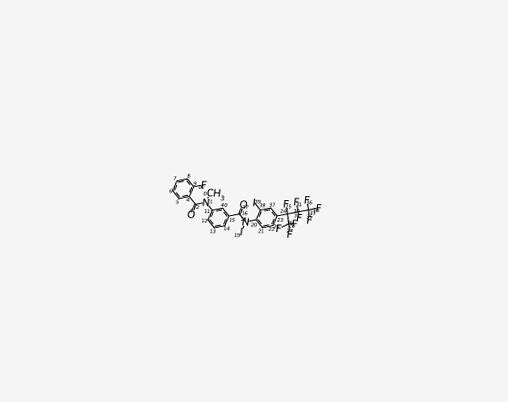 CN(C(=O)c1ccccc1F)c1cccc(C(=O)N(I)c2ccc(C(F)(C(F)(F)F)C(F)(F)C(F)(F)F)cc2I)c1